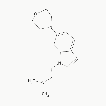 CN(C)CCN1C=CC2=CC=C(N3CCOCC3)CC21